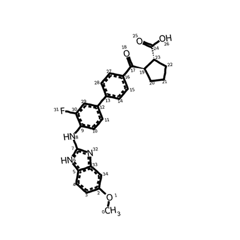 COc1ccc2[nH]c(Nc3ccc(-c4ccc(C(=O)[C@@H]5CCC[C@H]5C(=O)O)cc4)cc3F)nc2c1